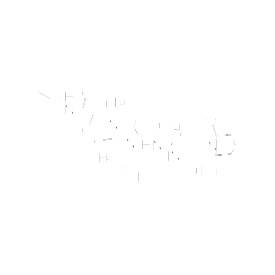 C=CCNC(=O)C(=O)C(CCCC)NC(=O)[C@@H]1[C@@H]2[C@H](CN1C(=O)[C@@H](NC(=O)N[C@H](Cn1ccccc1=O)C(C)(C)C)C(C)(C)C)C2(C)C